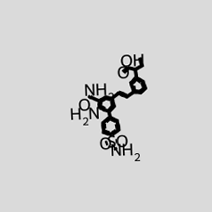 CCC(C(=O)O)c1cccc(/C=C/c2cc(C(N)=O)c(N)c(-c3ccc(S(N)(=O)=O)cc3)c2)c1